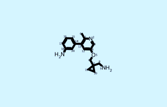 Cc1ncc(OCC2(CN)CC2)cc1-c1cccc(N)c1